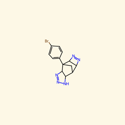 Brc1ccc(C23CC(C4N=NC42)C2NN=NC23)cc1